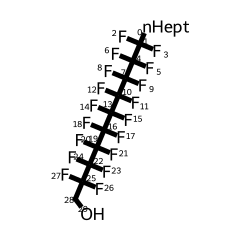 CCCCCCCC(F)(F)C(F)(F)C(F)(F)C(F)(F)C(F)(F)C(F)(F)C(F)(F)C(F)(F)C(F)(F)CO